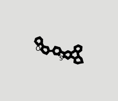 c1ccc2c(c1)oc1ccc(-c3ccc4c(c3)sc3cc5c6ccccc6c6ccccc6c5cc34)cc12